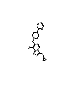 Clc1c(CN2CCC(c3ncccn3)CC2)ccn2c(CC3CC3)nnc12